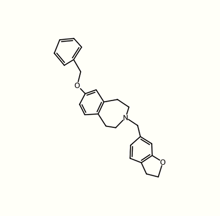 c1ccc(COc2ccc3c(c2)CCN(Cc2ccc4c(c2)OCC4)CC3)cc1